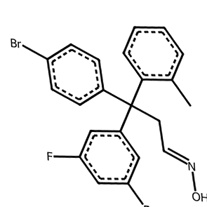 Cc1ccccc1C(C/C=N/O)(c1ccc(Br)cc1)c1cc(F)cc(F)c1